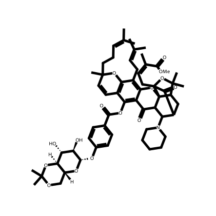 COC(=O)/C(C)=C\CC12OC(C)(C)C3CC(C1=O)C(N1CCCCC1)C1C(=O)c4c(OC(=O)c5ccc(O[C@@H]6O[C@@H]7COC(C)(C)O[C@H]7[C@H](O)[C@H]6O)cc5)c5c(c(CC=C(C)C)c4OC132)OC(C)(CCC=C(C)C)C=C5